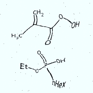 C=C(C)C(=O)OO.CCCCCCP(=O)(O)OCC